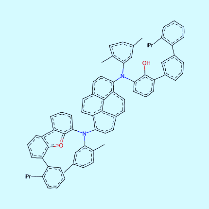 Cc1ccc(C)c(N(c2cccc(-c3cccc(-c4ccccc4C(C)C)c3)c2O)c2ccc3ccc4c(N(c5cc(C)ccc5C)c5cccc6c5oc5c(-c7ccccc7C(C)C)cccc56)ccc5ccc2c3c54)c1